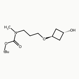 CN(CCCO[C@H]1C[C@H](O)C1)C(=O)OC(C)(C)C